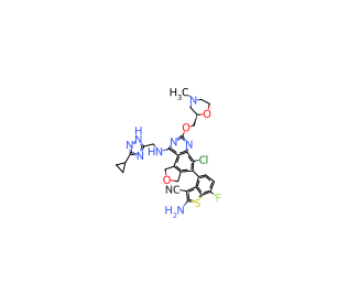 CN1CCO[C@@H](COc2nc(NCc3nc(C4CC4)n[nH]3)c3c4c(c(-c5ccc(F)c6sc(N)c(C#N)c56)c(Cl)c3n2)COC4)C1